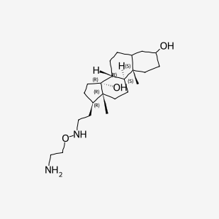 C[C@]12CCC(O)CC1CC[C@@H]1[C@@H]2CC[C@]2(C)[C@@H](CCNOCCN)CC[C@@]12O